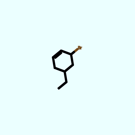 CCC1CC=CC(Br)C1